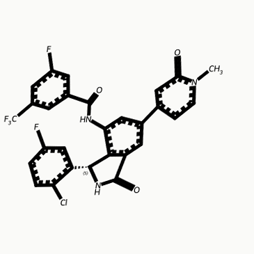 Cn1ccc(-c2cc(NC(=O)c3cc(F)cc(C(F)(F)F)c3)c3c(c2)C(=O)N[C@@H]3c2cc(F)ccc2Cl)cc1=O